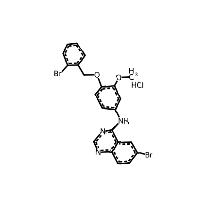 COc1cc(Nc2ncnc3ccc(Br)cc23)ccc1OCc1ccccc1Br.Cl